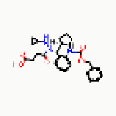 O=C(O)CCC(=O)N(NC1CC1)[C@H]1c2ccccc2N(C(=O)OCc2ccccc2)[C@@H]2CCC[C@@H]21